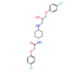 O=C(COc1ccc(Cl)cc1)N[C@H]1CC[C@H](NCC(O)COc2ccc(Cl)cc2)CC1